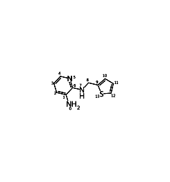 Nc1cccnc1NCc1cccs1